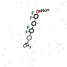 C/C=C/C1CCC(c2ccc(-c3ccc(-c4ccc(OCCCCCCCCC)c(F)c4F)cc3)c(F)c2F)CC1